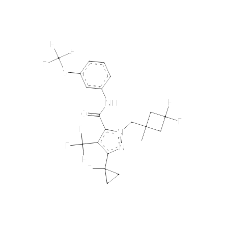 CC1(Cn2nc(C3(F)CC3)c(C(F)(F)F)c2C(=O)Nc2cccc(SC(F)(F)F)c2)CC(F)(F)C1